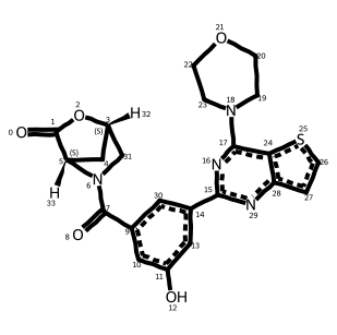 O=C1O[C@H]2C[C@@H]1N(C(=O)c1cc(O)cc(-c3nc(N4CCOCC4)c4sccc4n3)c1)C2